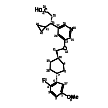 COc1ccc(F)c([C@H]2CC[C@H](COc3cncc([C@@H](CC(=O)O)C4CC4)c3)CC2)c1